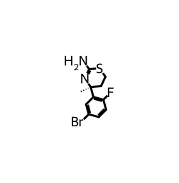 C[C@@]1(c2cc(Br)ccc2F)CCSC(N)=N1